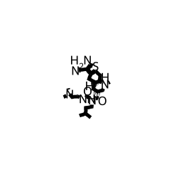 CC(C)CCN(C(=O)NCCN(C)C)C(=O)[C@@H]1C[C@@H]2Cc3c(sc(N)c3C#N)C[C@H]2N(C)C1